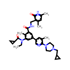 CCN(C(=O)C1CC1)c1cc(-c2cnc(N3CCN(CC4CC4)CC3)c(C)c2)cc(C(=O)NCc2c(C)cc(C)[nH]c2=O)c1C